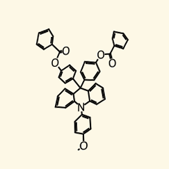 COc1ccc(N2c3ccccc3C(c3ccc(OC(=O)c4ccccc4)cc3)(c3ccc(OC(=O)c4ccccc4)cc3)c3ccccc32)cc1